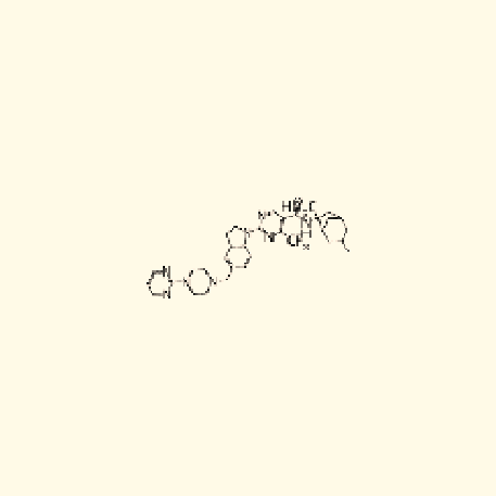 CC1CC2CC(C1)C(NC(=O)c1cnc(N3CCc4cc(CN5CCN(c6ncccn6)CC5)ccc43)nc1C(F)(F)F)(C(=O)O)C2